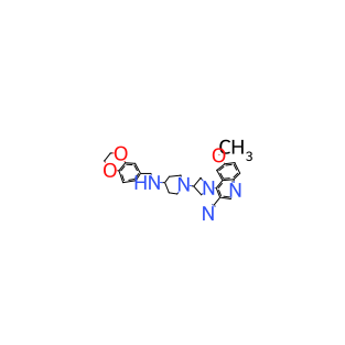 COc1ccc2ncc(C#N)c(N3CC(N4CCC(NCc5ccc6c(c5)OCCO6)CC4)C3)c2c1